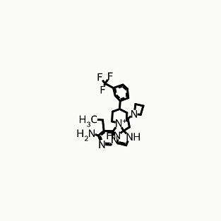 CCc1c(N)ncnc1[N+]1(C2(CCN3CCC3)NC=CN2)CCC(c2cccc(C(F)(F)F)c2)CC1